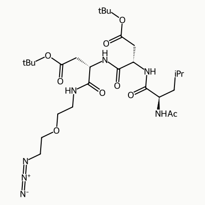 CC(=O)N[C@H](CC(C)C)C(=O)N[C@@H](CC(=O)OC(C)(C)C)C(=O)N[C@@H](CC(=O)OC(C)(C)C)C(=O)NCCOCCN=[N+]=[N-]